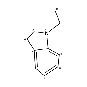 CCN1CCc2ccccc21